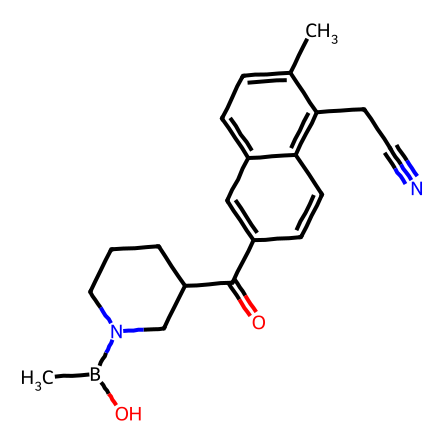 CB(O)N1CCCC(C(=O)c2ccc3c(CC#N)c(C)ccc3c2)C1